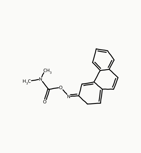 CN(C)C(=O)ON=C1C=c2c(ccc3ccccc23)=CC1